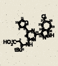 CC(C)(C)[C@@H](CC(=O)O)Nc1cc(-c2ccco2)nc(-c2n[nH]c3ccc(Cl)cc23)n1